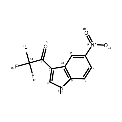 O=C(c1c[nH]c2ccc([N+](=O)[O-])cc12)C(F)(F)F